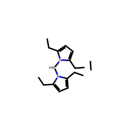 CCc1ccc(CC)[n]1[AlH][n]1c(CC)ccc1CC.[CH2]C